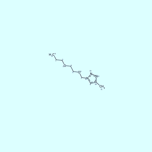 CCCOCCOCn1cc(C)nn1